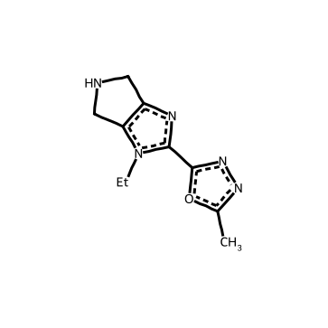 CCn1c(-c2nnc(C)o2)nc2c1CNC2